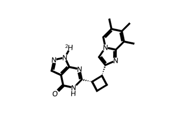 [2H]n1ncc2c(=O)[nH]c([C@H]3CC[C@H]3c3cn4cc(C)c(C)c(C)c4n3)nc21